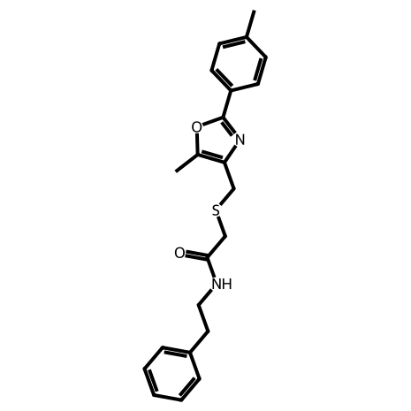 Cc1ccc(-c2nc(CSCC(=O)NCCc3ccccc3)c(C)o2)cc1